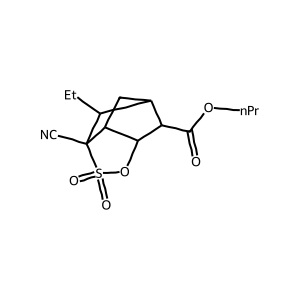 CCCOC(=O)C1C2CC3C1OS(=O)(=O)C3(C#N)C2CC